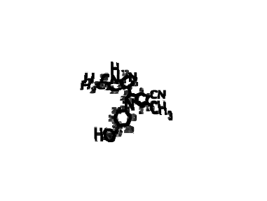 Cc1cc2c(cc1C#N)c(-c1cncc3c1C=CC(C)(C)N3)cn2[C@H]1CC[C@H](CO)CC1